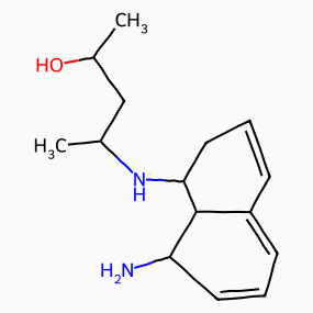 CC(O)CC(C)NC1CC=CC2=CC=CC(N)C21